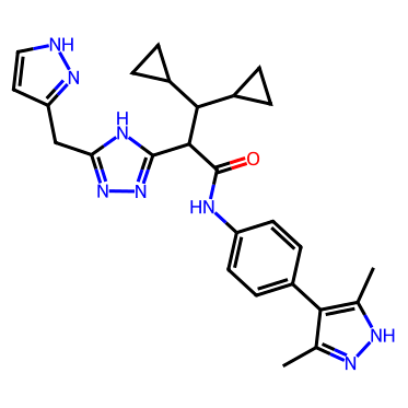 Cc1n[nH]c(C)c1-c1ccc(NC(=O)C(c2nnc(Cc3cc[nH]n3)[nH]2)C(C2CC2)C2CC2)cc1